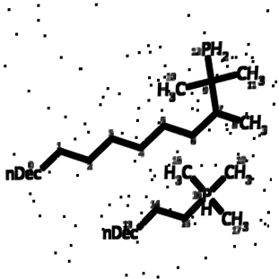 CCCCCCCCCCCCCCCCC(C)C(C)(C)P.CCCCCCCCCCCC[PH](C)(C)C